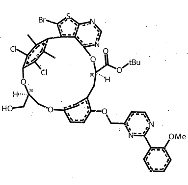 COc1ccccc1-c1nccc(COc2ccc3cc2C[C@H](C(=O)OC(C)(C)C)Oc2ncnc4sc(Br)c(c24)-c2c(C)c(Cl)c(c(Cl)c2C)O[C@H](CO)CO3)n1